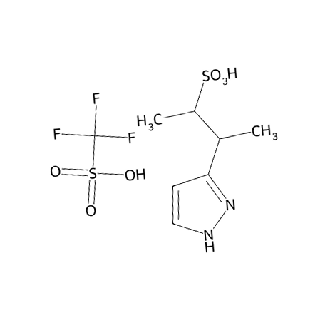 CC(c1cc[nH]n1)C(C)S(=O)(=O)O.O=S(=O)(O)C(F)(F)F